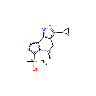 C[C@@H]1Cc2c(noc2C2CC2)-c2cnc([C@](C)(O)C(F)(F)F)n21